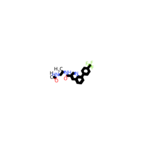 CC(=O)NC[C@@H](C)NC(=O)c1cnc2c(C3=CCC(C(F)(F)F)CC3)cccc2c1